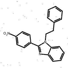 O=[N+]([O-])c1ccc(-c2nc3ccccc3n2CCc2ccccc2)cc1